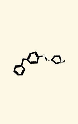 c1ccc(Cc2ccc(OC[C@@H]3CCNC3)cc2)cc1